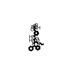 CCCN1C(=O)[C@H](NC(=O)Nc2cccc(C(=O)NS(C)(=O)=O)c2)N=C(C2CCCCC2)c2ccccc21